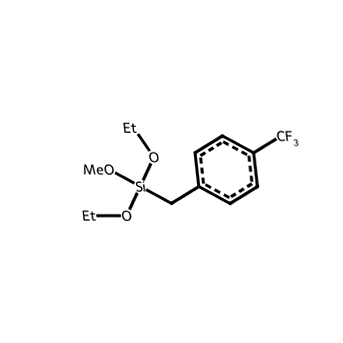 CCO[Si](Cc1ccc(C(F)(F)F)cc1)(OC)OCC